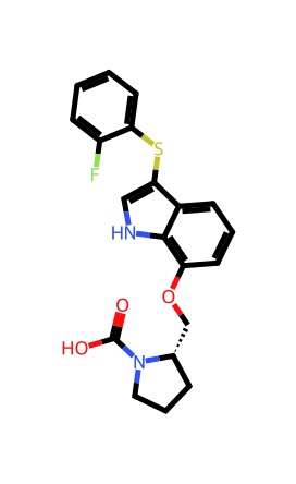 O=C(O)N1CCC[C@H]1COc1cccc2c(Sc3ccccc3F)c[nH]c12